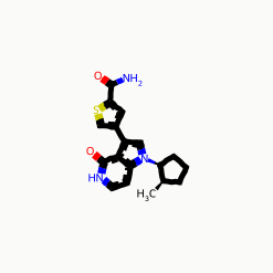 C[C@@H]1CCC[C@@H]1n1cc(-c2csc(C(N)=O)c2)c2c(=O)[nH]ccc21